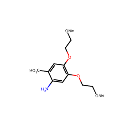 COCCOc1cc(N)c(C(=O)O)cc1OCCOC